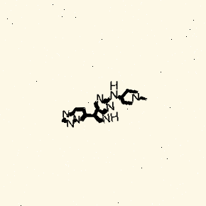 CN1CCC(Nc2ncc3c(-c4ccc5ncnn5c4)c[nH]c3n2)CC1